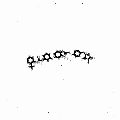 Cn1c(COc2ccc(CC3SC(=O)NC3=O)cc2)nc2ccc(Oc3cccc(NC(=O)Nc4ccccc4C(F)(F)F)c3)cc21